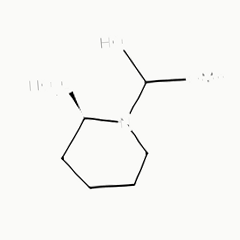 COC(O)N1CCCC[C@H]1C(=O)O